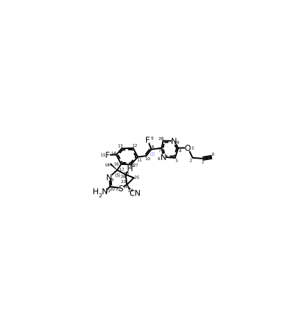 C#CCOc1cnc(/C(F)=C/c2ccc(F)c([C@@]3(C)N=C(N)S[C@@]4(C#N)C[C@H]43)c2)cn1